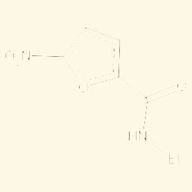 CCNC(=O)c1ccc([N+](=O)[O-])o1